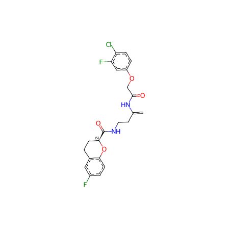 C=C(CCNC(=O)[C@@H]1CCc2cc(F)ccc2O1)NC(=O)COc1ccc(Cl)c(F)c1